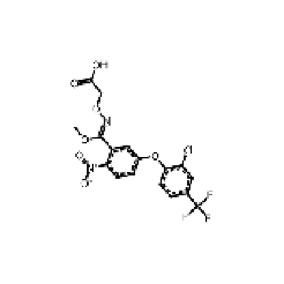 COC(=NOCC(=O)O)c1cc(Oc2ccc(C(F)(F)F)cc2Cl)ccc1[N+](=O)[O-]